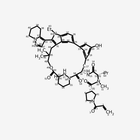 C=CC(=O)N1CC[C@H](C(=O)N(C)[C@H](C(=O)N[C@H]2Cc3cc(O)cc(c3)-c3ccc4c(c3)c(c(-c3cnn5c3CCCC5)n4CC)CC(C)(C)COC(=O)[C@@H]3CCCN(N3)C2=O)C(C)C)C1